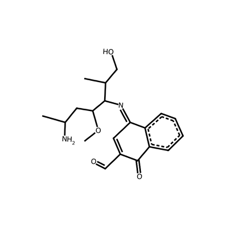 COC(CC(C)N)C(/N=C1\C=C(C=O)C(=O)c2ccccc21)C(C)CO